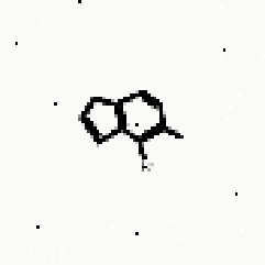 Cc1ccc2c(c1Br)C=CC2